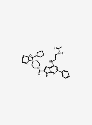 CC(=O)NCCNc1nc(-c2ccccc2)nc2[nH]c(C(=O)N3CCC(C(=O)N4CCCC4)(c4ccccc4)CC3)cc12